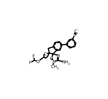 [C-]#[N+]c1cccc(-c2ccc3c(c2)C2(N=C(N)N(C)O2)C2(CCC(OC(F)F)CC2)C3)c1